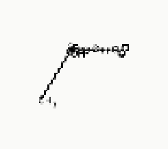 CCCCCCCCCCCCCCCCCOP(=O)(O)OCCOCCOCCOCCOc1cccc2ccccc12